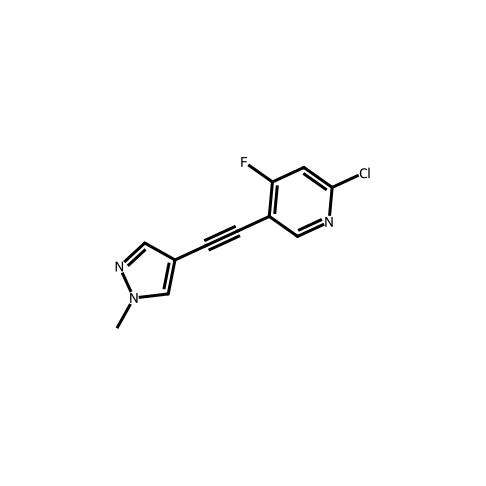 Cn1cc(C#Cc2cnc(Cl)cc2F)cn1